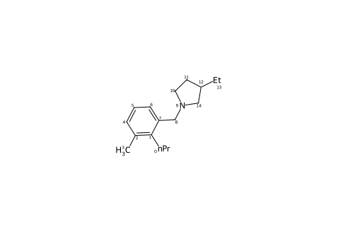 CCCc1c(C)cccc1CN1CCC(CC)C1